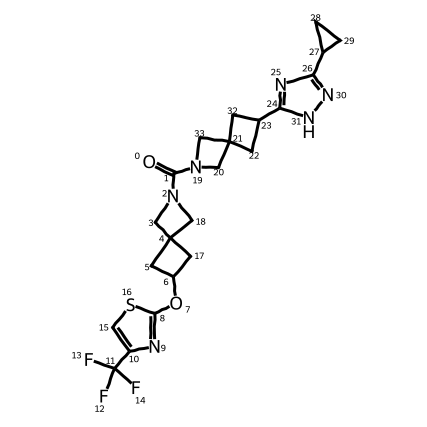 O=C(N1CC2(CC(Oc3nc(C(F)(F)F)cs3)C2)C1)N1CC2(CC(c3nc(C4CC4)n[nH]3)C2)C1